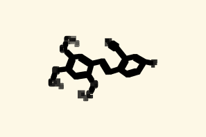 COc1cc(OC)c(OC)cc1C=Cc1ccc(F)cc1C#N